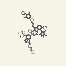 Cc1cc(OCCCc2c3n(c4c(-c5c(C)nn(C)c5C)c(Cl)ccc24)C(C)CN(c2cc(C(=O)O)c4ccn(COCC[Si](C)(C)C)c4c2)C3=O)cc(C)c1Cl